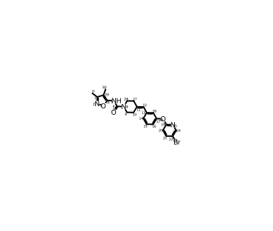 Cc1noc(NC(=O)N2CCC(=Cc3cccc(Oc4ccc(Br)cn4)c3)CC2)c1C